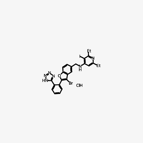 CCc1cc(NCc2ccc3oc(-c4ccccc4-c4nnn[nH]4)c(Br)c3c2)c(I)c(CC)n1.Cl